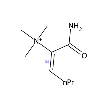 CCC/C=C(\C(N)=O)[N+](C)(C)C